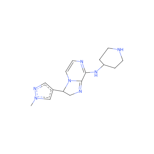 Cn1cc(C2CN=C3C(NC4CCNCC4)=NC=CN32)cn1